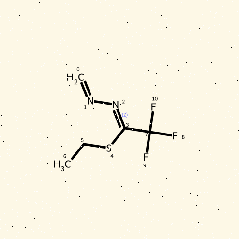 C=N/N=C(\SCC)C(F)(F)F